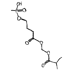 CC(C)C(=O)OCOC(=O)CCCOP(C)(=O)O